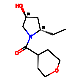 CC[C@H]1C[C@H](O)CN1C(=O)C1CCOCC1